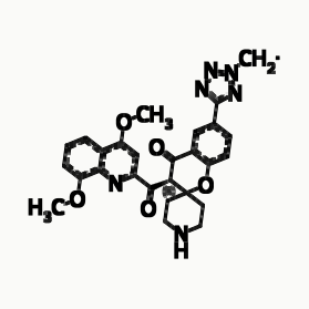 [CH2]n1nnc(-c2ccc3c(c2)C(=O)[C@H](C(=O)c2cc(OC)c4cccc(OC)c4n2)C2(CCNCC2)O3)n1